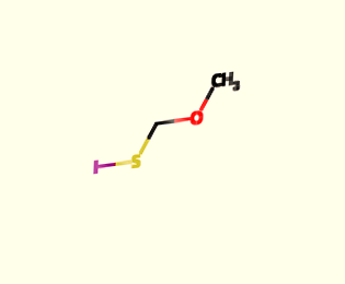 COCSI